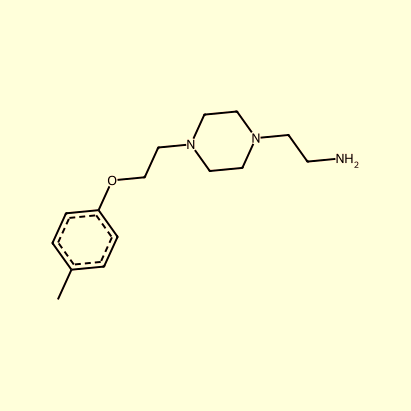 Cc1ccc(OCCN2CCN(CCN)CC2)cc1